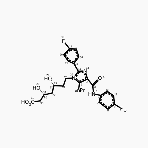 CCCc1c(C(=O)Nc2ccc(F)cc2)nc(-c2ccc(F)cc2)n1CC[C@@H](O)C[C@@H](O)CC(=O)O